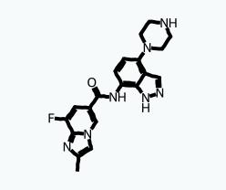 Cc1cn2cc(C(=O)Nc3ccc(N4CCNCC4)c4cn[nH]c34)cc(F)c2n1